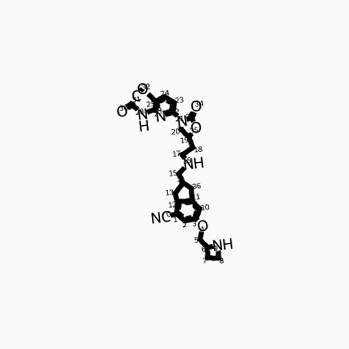 N#Cc1cc(OCC2CCN2)cc2c1CC(CNCCC1CN(c3ccc4c(n3)NC(=O)CO4)C(=O)O1)C2